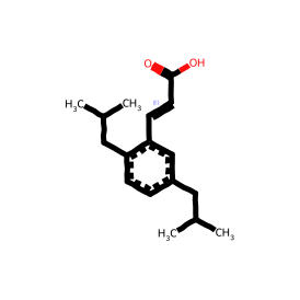 CC(C)Cc1ccc(CC(C)C)c(/C=C/C(=O)O)c1